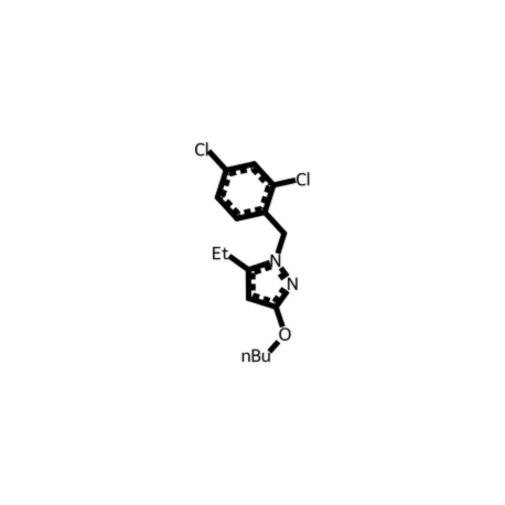 [CH2]Cc1cc(OCCCC)nn1Cc1ccc(Cl)cc1Cl